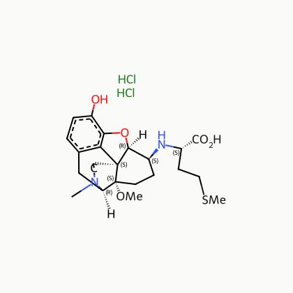 CO[C@@]12CC[C@H](N[C@@H](CCSC)C(=O)O)[C@@H]3Oc4c(O)ccc5c4[C@@]31CCN(C)[C@@H]2C5.Cl.Cl